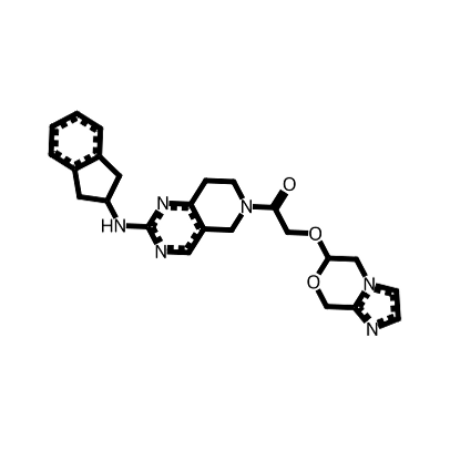 O=C(COC1Cn2ccnc2CO1)N1CCc2nc(NC3Cc4ccccc4C3)ncc2C1